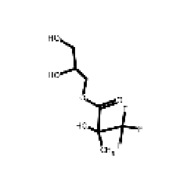 CC(O)(C(=O)OCC(O)CO)C(F)(F)F